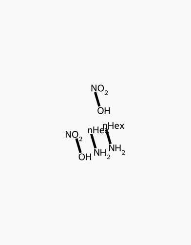 CCCCCCN.CCCCCCN.O=[N+]([O-])O.O=[N+]([O-])O